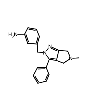 CN1Cc2nn(Cc3cccc(N)c3)c(-c3ccccc3)c2C1